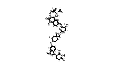 C[C@H]1CC2(CC[C@@H]1Oc1ccc3c(C4CCC(=O)NC4=O)nn(C)c3c1)CN(c1ncc(Cl)c(Nc3ccc4c(c3)c3c(c(=O)n4C)OCC(F)(F)[C@H](C4CC4)N3)n1)C2